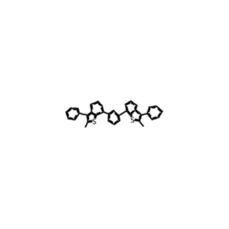 Cc1sc2c(-c3cccc(-c4cccc5c(-c6ccccc6)c(C)sc45)c3)cccc2c1-c1ccccc1